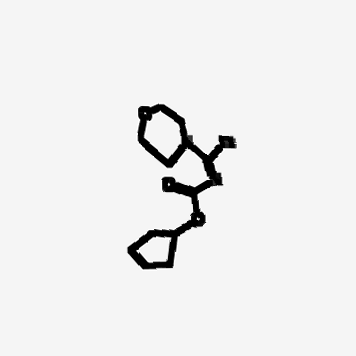 CC/C(=N/C(=O)OC1CCCC1)N1CCOCC1